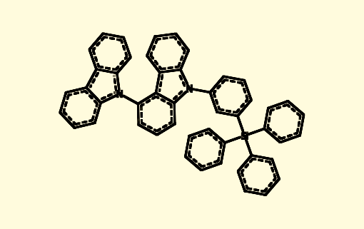 c1ccc([Si](c2ccccc2)(c2ccccc2)c2cccc(-n3c4ccccc4c4c(-n5c6ccccc6c6ccccc65)cccc43)c2)cc1